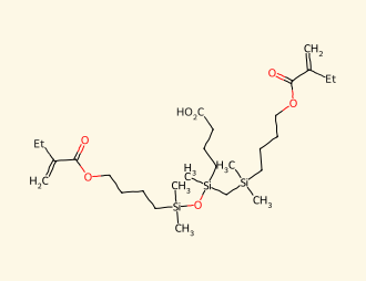 C=C(CC)C(=O)OCCCC[Si](C)(C)C[Si](C)(CCCC(=O)O)O[Si](C)(C)CCCCOC(=O)C(=C)CC